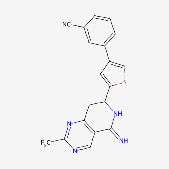 N#Cc1cccc(-c2csc(C3Cc4nc(C(F)(F)F)ncc4C(=N)N3)c2)c1